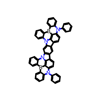 c1ccc(N2c3ccccc3B3c4ccccc4-n4c5cc6c(cc5c5ccc2c3c54)c2ccc3c4c2n6-c2ccccc2B4c2ccccc2N3c2ccccc2)cc1